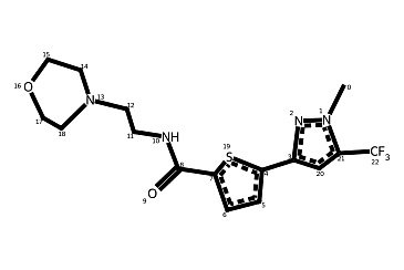 Cn1nc(-c2ccc(C(=O)NCCN3CCOCC3)s2)cc1C(F)(F)F